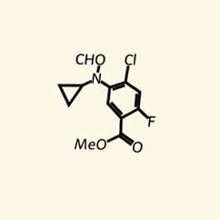 COC(=O)c1cc(N(C=O)C2CC2)c(Cl)cc1F